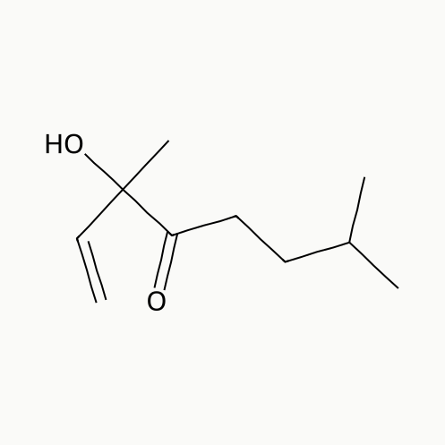 C=CC(C)(O)C(=O)CCC(C)C